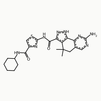 CC1(C)Cc2cnc(N)nc2-c2[nH]nc(C(=O)Nc3nc(C(=O)NC4CCCCC4)cs3)c21